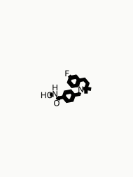 CC1(C)CCc2cc(F)ccc2N1Cc1ccc(C(=O)NO)cc1